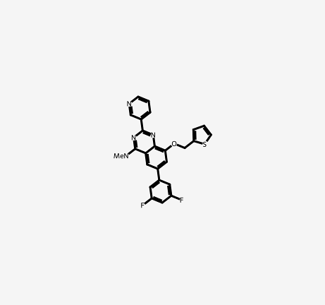 CNc1nc(-c2cccnc2)nc2c(OCc3cccs3)cc(-c3cc(F)cc(F)c3)cc12